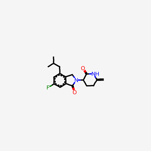 C=C1CCC(N2Cc3c(CC(C)C)cc(F)cc3C2=O)C(=O)N1